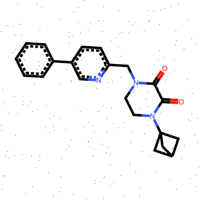 O=C1C(=O)N(C23CC(C2)C3)CCN1Cc1ccc(-c2ccccc2)cn1